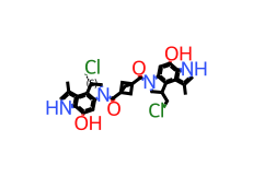 Cc1c[nH]c2c(O)cc3c(c12)C(CCl)CN3C(=O)C12CC(C(=O)N3C[C@@H](CCl)c4c3cc(O)c3[nH]cc(C)c43)(C1)C2